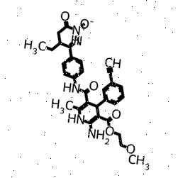 C#Cc1cccc(C2C(C(=O)Nc3ccc(C4=N[NH+]([O-])C(=O)CC4CC)cc3)=C(C)NC(N)=C2C(=O)OCCOC)c1